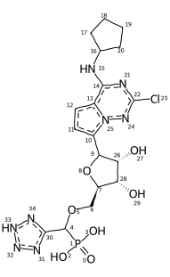 O=P(O)(O)C(OC[C@H]1OC(c2ccc3c(NC4CCCC4)nc(Cl)nn23)[C@H](O)[C@@H]1O)c1nn[nH]n1